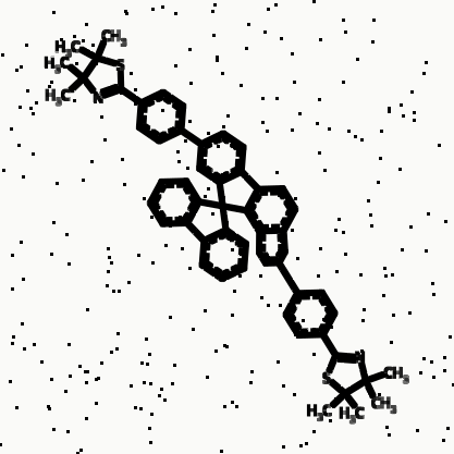 CC1(C)N=C(c2ccc(-c3ccc4c(c3)C3(c5ccccc5-c5ccccc53)c3c-4ccc4cc(-c5ccc(C6=NC(C)(C)C(C)(C)S6)cc5)ccc34)cc2)SC1(C)C